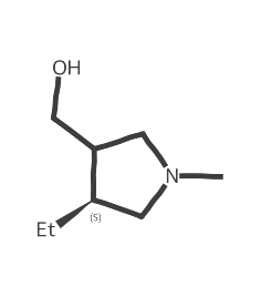 CC[C@@H]1CN(C)CC1CO